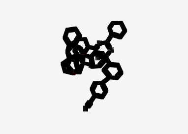 N#Cc1ccc(-c2cccc(-c3nc(C4=CCCCC4)nc(C4CCC5=C6C4[C@@H]4CCCC7=C4Cc4ccccc4C75c4ccccc4N6c4ccccc4)n3)c2)cc1